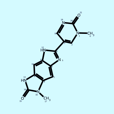 Cn1cc(-c2nc3cc4c(cc3[nH]2)[nH]c(=O)n4C)cnc1=O